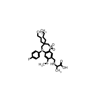 CCCCC1(CCCC)CN(c2ccc(F)cc2)c2cc(SC)c(CNC(C)C(=O)O)cc2S(=O)(=O)C1